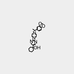 CC(c1ccc2c(c1)OCO2)N1CCN(c2ncc(C3(O)CCCCC3)cn2)CC1